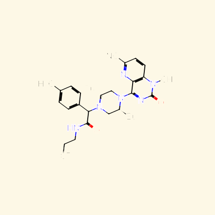 CC[C@H]1CN(C(C(=O)NCCC(F)(F)F)c2ccc(C)cc2)[C@H](CC)CN1c1nc(=O)n(C)c2ccc(C#N)nc12